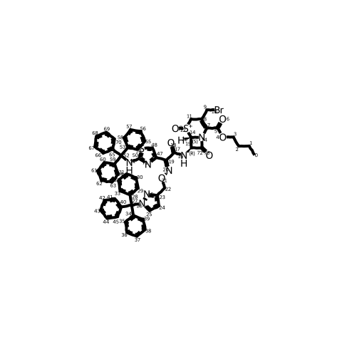 CCCCOC(=O)C1=C(CBr)C[S+]([O-])[C@H]2[C@H](NC(=O)C(=NOCc3ccn(C(c4ccccc4)(c4ccccc4)c4ccccc4)n3)c3csc(NC(c4ccccc4)(c4ccccc4)c4ccccc4)n3)C(=O)N12